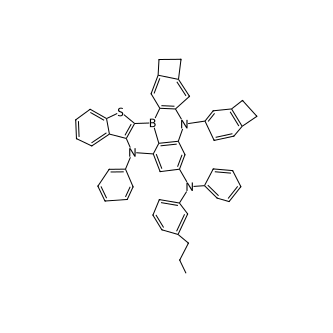 CCCc1cccc(N(c2ccccc2)c2cc3c4c(c2)N(c2ccccc2)c2c(sc5ccccc25)B4c2cc4c(cc2N3c2ccc3c(c2)CC3)CC4)c1